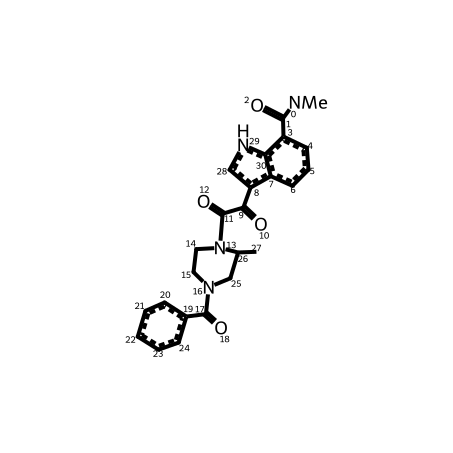 CNC(=O)c1cccc2c(C(=O)C(=O)N3CCN(C(=O)c4ccccc4)CC3C)c[nH]c12